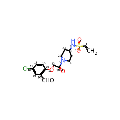 C=CS(=O)(=O)NC1CCN(C(=O)COc2ccc(Cl)cc2C=O)CC1